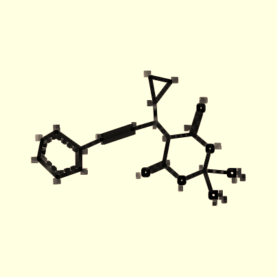 CC1(C)OC(=O)C(C(C#Cc2ccccc2)C2CC2)C(=O)O1